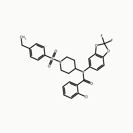 CCc1ccc(S(=O)(=O)N2CCC(N(C(=O)c3ccccc3Cl)c3ccc4c(c3)OC(F)(F)O4)CC2)cc1